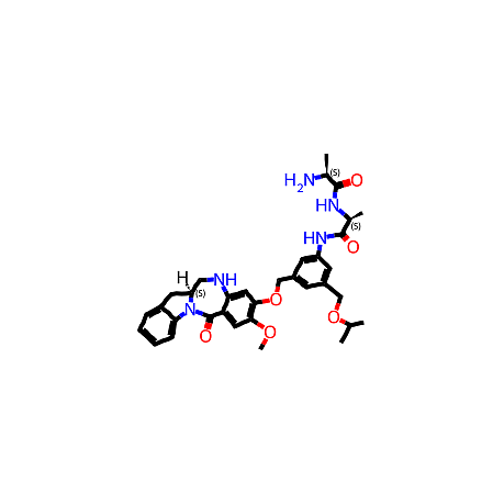 COc1cc2c(cc1OCc1cc(COC(C)C)cc(NC(=O)[C@H](C)NC(=O)[C@H](C)N)c1)NC[C@@H]1Cc3ccccc3N1C2=O